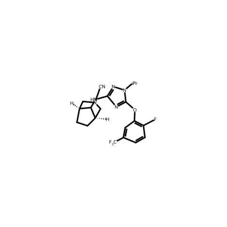 CC(C)n1nc(NC2[C@@H]3CC[C@H]2CN(C#N)C3)nc1Oc1cc(C(F)(F)F)ccc1F